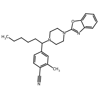 CCCCCC(c1ccc(C#N)c(C)c1)N1CCN(c2nc3ccccc3o2)CC1